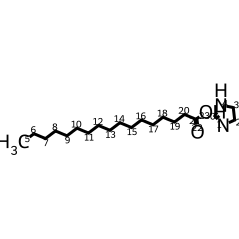 C1=NCCN1.CCCCCCCCCCCCCCCCC(=O)O